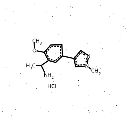 COc1ccc(-c2cnn(C)c2)cc1C(C)N.Cl